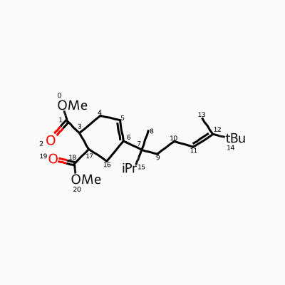 COC(=O)C1CC=C(C(C)(CC/C=C(\C)C(C)(C)C)C(C)C)CC1C(=O)OC